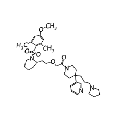 COc1cc(C)c(S(=O)(=O)N2CCCCC2CCOCC(=O)N2CCC(CCCN3CCCC3)(c3cccnc3)CC2)c(C)c1